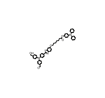 O=Cc1ccc(N(c2ccc(CO)cc2)c2ccc(-c3nc4ccc(OCCCCCCC(=O)Oc5ccc(N(c6ccccc6)c6ccccc6)cc5)cc4s3)cc2)cc1